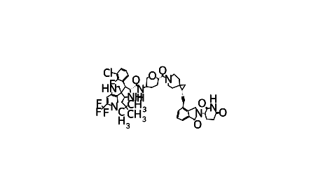 CC(C)(C)C[C@@H]1N[C@@H](C(=O)N[C@@H]2CC[C@@H](C(=O)N3CCC4(CC3)C[C@@H]4C#Cc3cccc4c3CN([C@H]3CCC(=O)NC3=O)C4=O)OC2)[C@H](c2cccc(Cl)c2F)[C@]12CNc1cc(C(F)(F)F)ncc12